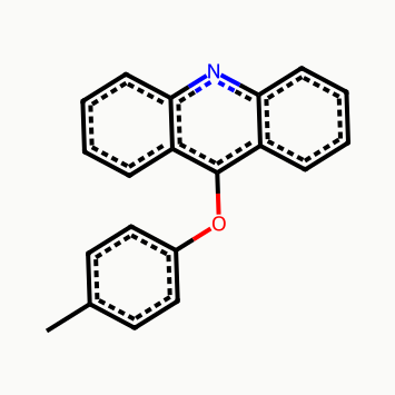 Cc1ccc(Oc2c3ccccc3nc3ccccc23)cc1